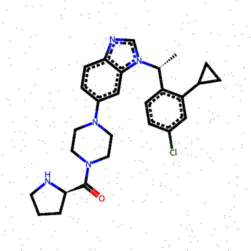 C[C@H](c1ccc(Cl)cc1C1CC1)n1cnc2ccc(N3CCN(C(=O)[C@H]4CCCN4)CC3)cc21